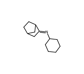 C1CCC(N=C2CC3CCC2C3)CC1